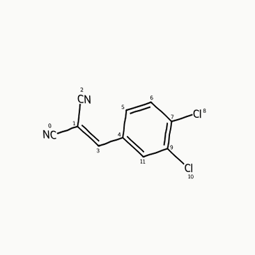 N#CC(C#N)=Cc1ccc(Cl)c(Cl)c1